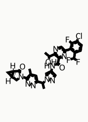 Cc1cc(C(C)n2cc(NC(=O)c3nc(-c4c(C(F)F)ccc(Cl)c4F)cnc3C(C)O)cn2)nnc1N1C[C@H]2C[C@H]2C1=O